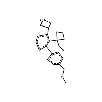 CCC1(c2cccc(-c3ccc(COC)cc3)c2C2(CC)COC2)COC1